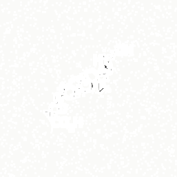 C=C(C)[C@@H]1CC[C@]2(CC(=O)NCCO)CC[C@]3(C)[C@H](CCC4[C@@]5(C)CC[C@H](OC(=O)CC(C)(C)CC(=O)O)C(C)(C)C5CC[C@]43C)C12